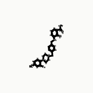 CCc1c(OCc2ccc(CN3CCN(c4ccc(C#N)cc4F)CC3)cc2)cccc1C(=O)C(C)C